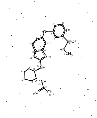 CNC(=O)c1cc(Oc2ccc3nc(N[C@@H]4CCCC[C@H]4NC(C)=O)sc3c2)ccn1